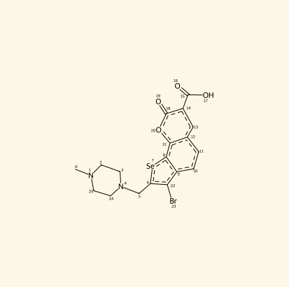 CN1CCN(Cc2[se]c3c(ccc4cc(C(=O)O)c(=O)oc43)c2Br)CC1